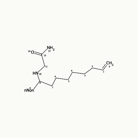 C=CCCCCCCC(CCCCCCCCC)NCC(N)=O